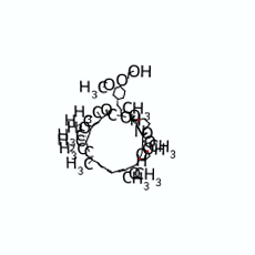 C=C1[C@H](C)C[C@H](C)/C=C/C=C/C=C(\C)[C@@H](OC)C[C@@H]2CC[C@@H](C)[C@@](O)(O2)C(=O)C(=O)N2CCCC[C@H]2C(=O)O[C@H]([C@@H](C)C[C@@H]2CC[C@@H](OCCO)[C@H](OC)C2)CC(=O)[C@H](C)/C=C(\C)[C@@H](O)[C@H]1C